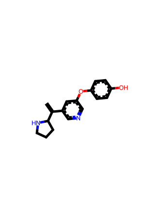 C=C(c1cncc(Oc2ccc(O)cc2)c1)C1CCCN1